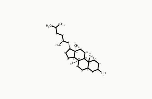 CC(C)CC[C@H](O)C[C@H]1CCC2[C@@H]3CCC4CC(O)CCC4(C)C3CC[C@@]21C